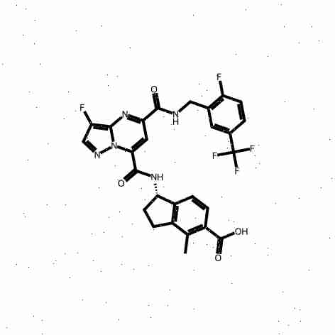 Cc1c(C(=O)O)ccc2c1CC[C@@H]2NC(=O)c1cc(C(=O)NCc2cc(C(F)(F)F)ccc2F)nc2c(F)cnn12